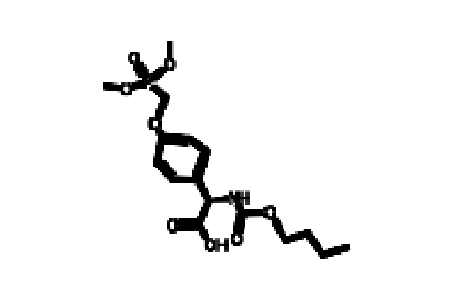 CCCCOC(=O)N[C@@H](C(=O)O)c1ccc(OCP(=O)(OC)OC)cc1